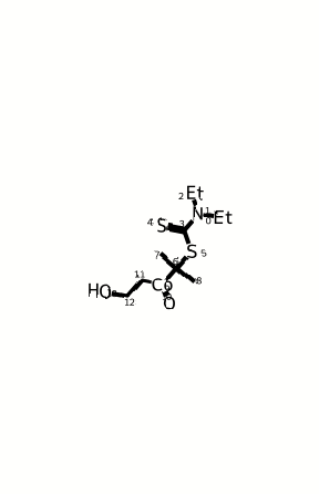 CCN(CC)C(=S)S[C](C)(C)[Co](=[O])[CH2]CO